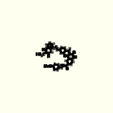 COc1ccc(CNC(=O)c2ccc3[nH]c(=O)n(C(C)c4ccc(CC(=O)O)cc4)c(=O)c3c2)cc1.O=C(O)C1NCc2ccccc2N1